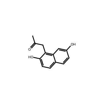 CC(=O)Cc1c(O)ccc2ccc(O)cc12